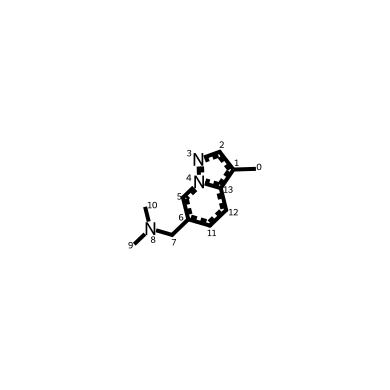 Cc1cnn2cc(CN(C)C)ccc12